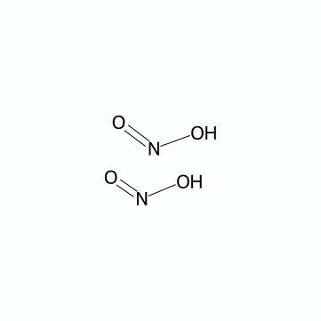 O=NO.O=NO